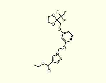 CCOC(=O)c1cnn(COc2cccc(OCC3(C(F)(F)F)OCCO3)c2)c1